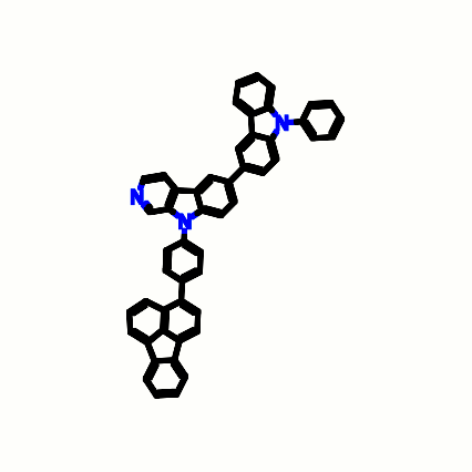 c1ccc(-n2c3ccccc3c3cc(-c4ccc5c(c4)c4ccncc4n5-c4ccc(-c5ccc6c7c(cccc57)-c5ccccc5-6)cc4)ccc32)cc1